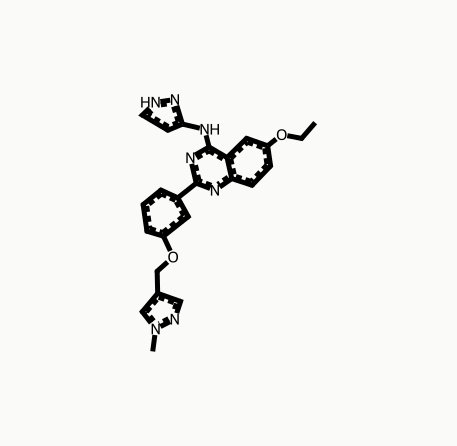 CCOc1ccc2nc(-c3cccc(OCc4cnn(C)c4)c3)nc(Nc3cc[nH]n3)c2c1